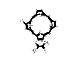 CC(=O)C(C)=O.[2H]C1=CC2=CC3=NC(=CC4=NC(=CC5=NC(=CC1=N2)C=C5)C=C4)C=C3